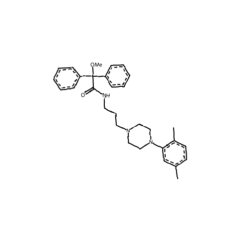 COC(C(=O)NCCCN1CCN(c2cc(C)ccc2C)CC1)(c1ccccc1)c1ccccc1